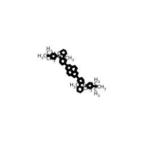 CC(C)(C)c1ccc(N2c3ccc(-c4cc5ccc6cc(-c7ccc8c(c7)C7(C)CCCCC7(C)N8c7ccc(C(C)(C)C)cc7)cc7ccc(c4)c5c67)cc3C3(C)CCCCC23C)cc1